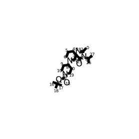 CC1=NC2(CCCN(C3CCN(C(=O)OC(C)(C)C)CC3)C2)C(=O)N1C(C)C